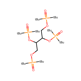 CC(C)(C)P(=O)(OCC(OP(=O)(C(C)(C)C)C(C)(C)C)C(COP(=O)(C(C)(C)C)C(C)(C)C)OP(=O)(C(C)(C)C)C(C)(C)C)C(C)(C)C